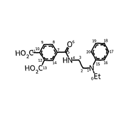 CCN(CCNC(=O)c1ccc(C(=O)O)c(C(=O)O)c1)c1ccccc1